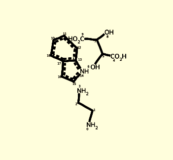 NCCN.O=C(O)C(O)C(O)C(=O)O.c1ccc2[nH]ccc2c1